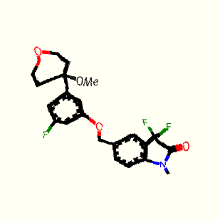 COC1(c2cc(F)cc(OCc3ccc4c(c3)C(F)(F)C(=O)N4C)c2)CCOCC1